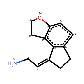 NC/C=C1/CCc2ccc3c(c21)CCO3